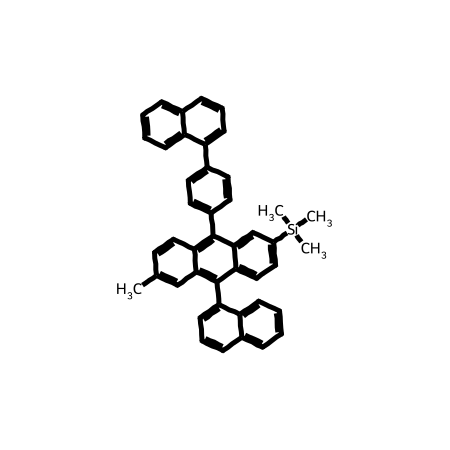 Cc1ccc2c(-c3ccc(-c4cccc5ccccc45)cc3)c3cc([Si](C)(C)C)ccc3c(-c3cccc4ccccc34)c2c1